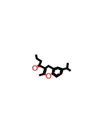 CCCC(=O)C1=C(C)Oc2ccc(C(C)C)cc2C1